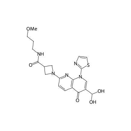 COCCCNC(=O)C1CN(c2ccc3c(=O)c(C(O)O)cn(-c4nccs4)c3n2)C1